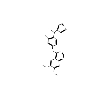 COc1cc2ncnc(Nc3ccc(C(O)c4ccncc4)c(Cl)c3)c2cc1OC.Cl.Cl